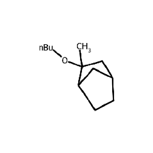 CCCCOC1(C)CC2CCC1C2